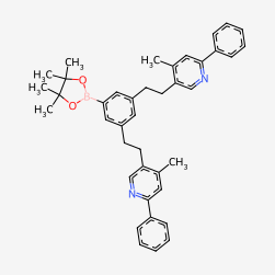 Cc1cc(-c2ccccc2)ncc1CCc1cc(CCc2cnc(-c3ccccc3)cc2C)cc(B2OC(C)(C)C(C)(C)O2)c1